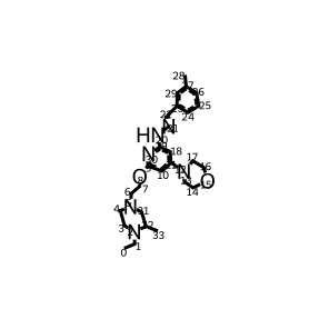 CCN1CCN(CCOc2cc(N3CCOCC3)cc(NN=Cc3cccc(C)c3)n2)CC1C